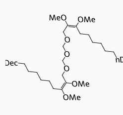 CCCCCCCCCCCCCCCCC(OC)=C(COCOCOCC(OC)=C(CCCCCCCCCCCCCCCC)OC)OC